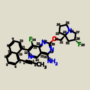 CC#Cc1cccc2cccc(-c3ncc4c(N)nc(OC[C@@]56CCCN5C[C@H](F)C6)nc4c3F)c12